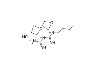 C1COC1.C1COC1.CCCCNC(=N)NC(=N)N.Cl